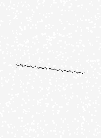 CCCCCCCCCCCCCC[CH]CCCCCCCCCCCCCC